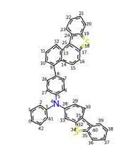 c1ccc(N(c2ccc(-c3cccc4c3ccc3sc5ccccc5c34)cc2)c2ccc3c(c2)sc2ccccc23)cc1